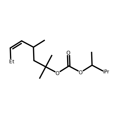 CC/C=C\C(C)CC(C)(C)OC(=O)OC(C)C(C)C